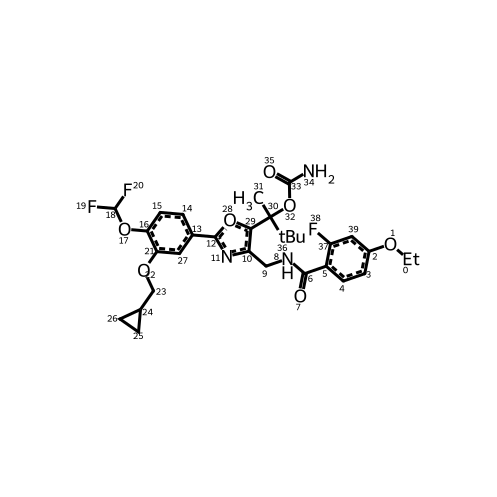 CCOc1ccc(C(=O)NCc2nc(-c3ccc(OC(F)F)c(OCC4CC4)c3)oc2C(C)(OC(N)=O)C(C)(C)C)c(F)c1